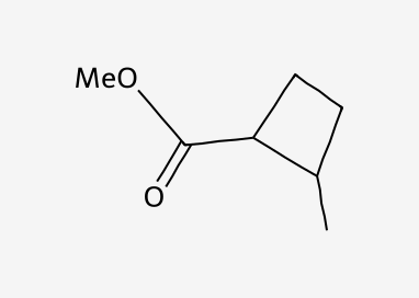 COC(=O)C1CCC1C